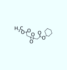 COC(=O)CC12OC1(CC(=O)OC1CCCCC1)O2